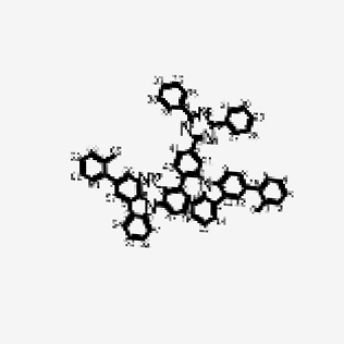 Cc1ccccc1-c1ccc2c(c1)c1ccccc1n2-c1cc(-c2nc(-c3ccccc3)nc(-c3ccccc3)n2)ccc1-c1cccc(-n2c3ccccc3c3cc(-c4ccccc4C)ccc32)c1C#N